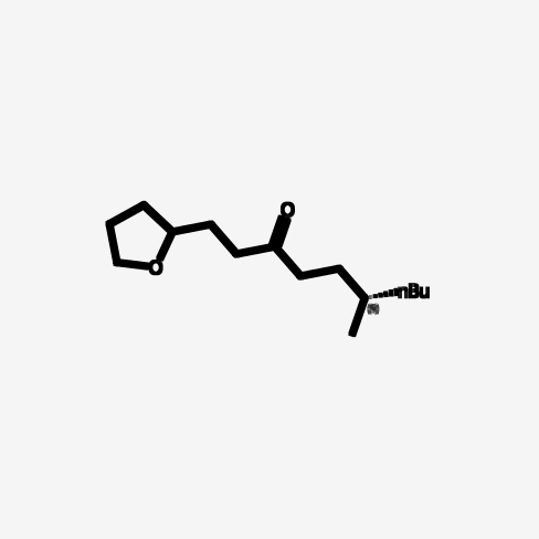 CCCC[C@H](C)CCC(=O)CCC1CCCO1